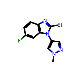 CCc1nc2ccc(F)cc2n1-c1cnn(C)c1